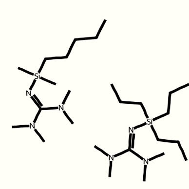 CCCCC[Si](C)(C)N=C(N(C)C)N(C)C.CCC[Si](CCC)(CCC)N=C(N(C)C)N(C)C